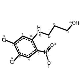 O=[N+]([O-])c1cc(Cl)c(Cl)cc1NCCCO